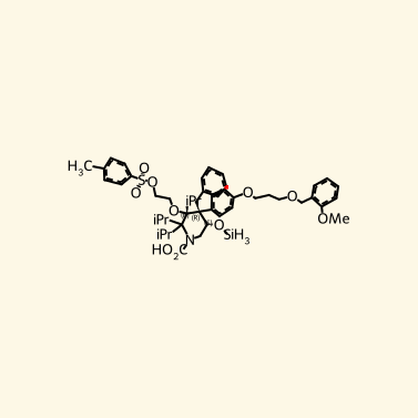 COc1ccccc1COCCCOc1ccc([C@]2(Cc3ccccc3)[C@H](O[SiH3])CN(C(=O)O)C(C(C)C)(C(C)C)[C@@]2(OCCOS(=O)(=O)c2ccc(C)cc2)C(C)C)cc1